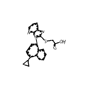 O=C(O)CSc1nc2cccnc2n1-c1ccc(C2CC2)c2ccccc12